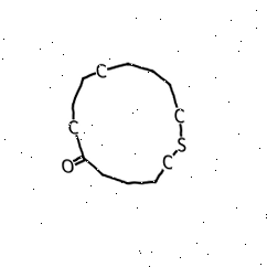 O=C1CCCCCCCCSCCCC1